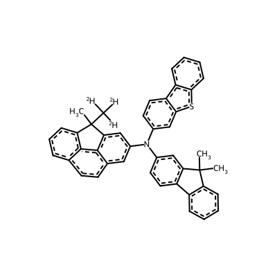 [2H]C([2H])([2H])C1(C)c2cccc3ccc4cc(N(c5ccc6c(c5)C(C)(C)c5ccccc5-6)c5ccc6c(c5)sc5ccccc56)cc1c4c23